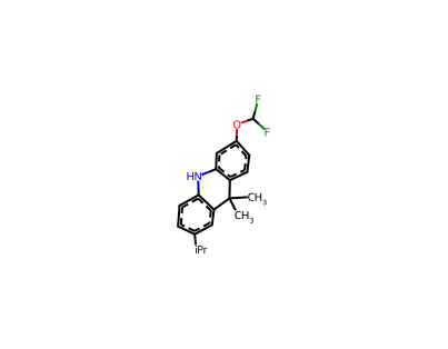 CC(C)c1ccc2c(c1)C(C)(C)c1ccc(OC(F)F)cc1N2